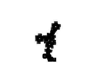 CC(C)(C)OC(=O)N1CC(c2cc(F)c(-c3ccc(OCc4ccccc4)nc3OCc3ccccc3)c(F)c2)C1